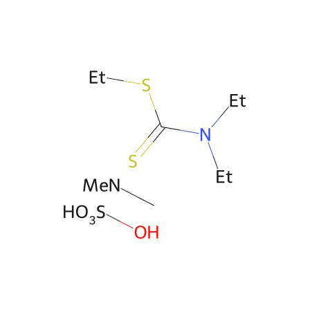 CCSC(=S)N(CC)CC.CNC.O=S(=O)(O)O